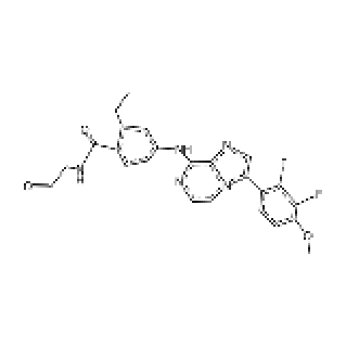 CCc1cc(Nc2nccn3c(-c4ccc(OC)c(F)c4F)cnc23)ccc1C(=O)NCC=O